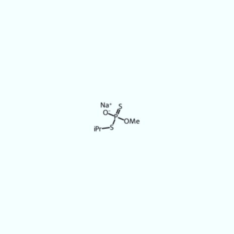 COP([O-])(=S)SC(C)C.[Na+]